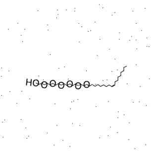 CCCCCCCC/C=C\CCCCCCCCOCCOCCOCCOCCOCCOCCO